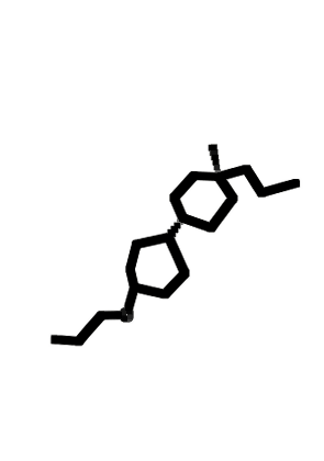 CCCOC1CCC([C@H]2CC[C@](C)(CCC)CC2)CC1